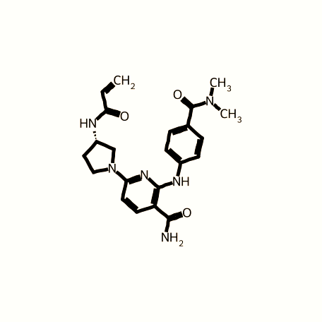 C=CC(=O)N[C@H]1CCN(c2ccc(C(N)=O)c(Nc3ccc(C(=O)N(C)C)cc3)n2)C1